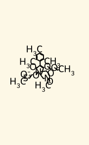 CCOC(=O)OC1=C(c2c(C)cc(C)cc2C)C(=O)N(OCC[S+](C)[O-])C12CCN(OC)CC2